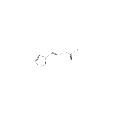 NC(=S)NN=Cc1ccoc1